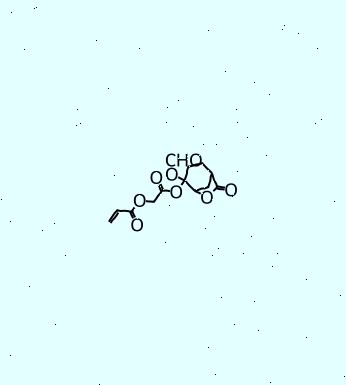 C=CC(=O)OCC(=O)OC1(OC=O)CCC2CC1OC2=O